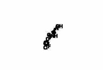 O=C(COc1ccc(Cl)c(F)c1)NC12CC(/C=N/O)(C1)C2